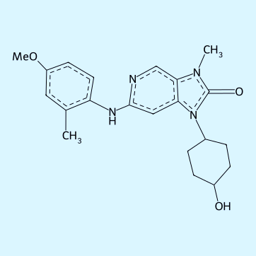 COc1ccc(Nc2cc3c(cn2)n(C)c(=O)n3C2CCC(O)CC2)c(C)c1